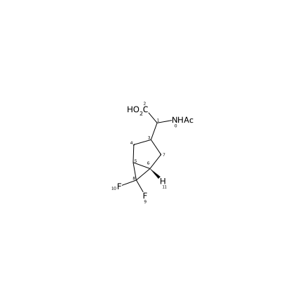 CC(=O)NC(C(=O)O)C1CC2[C@H](C1)C2(F)F